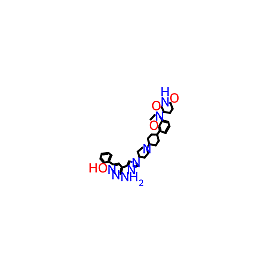 Nc1nnc(-c2ccccc2O)cc1-c1cn(C2CCN(C3CCC(c4cccc5c4OCCN5[C@@H]4CCC(=O)NC4=O)CC3)CC2)cn1